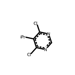 CC(C)c1c(Cl)ncnc1Cl